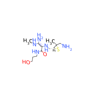 CN/C(N)=C(/NC[C@H]1SC1(C)CN)C(=O)NCCCO